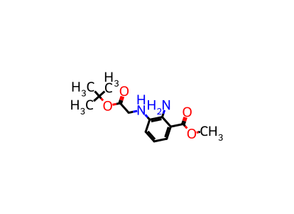 COC(=O)c1cccc(NCC(=O)OC(C)(C)C)c1N